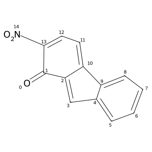 O=C1C2=Cc3ccccc3C2=CC=C1[N+](=O)[O-]